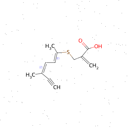 C#C/C(C)=C\C=C(/C)SCC(=C)C(=O)O